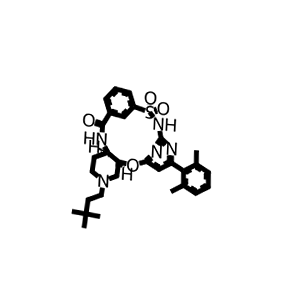 Cc1cccc(C)c1-c1cc2nc(n1)NS(=O)(=O)c1cccc(c1)C(=O)N[C@@H]1CCN(CCC(C)(C)C)C[C@H]1O2